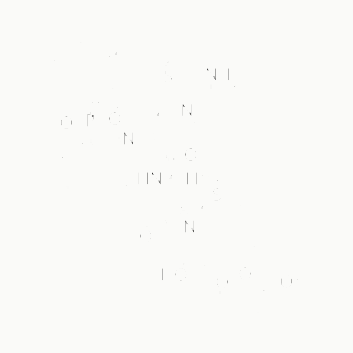 CC(=O)OCC1=C(C(=O)O)N2C(=O)[C@H](NC(=O)C(=NOP(=O)(c3ccccc3)c3ccccc3)c3csc(N)n3)[C@H]2SC1